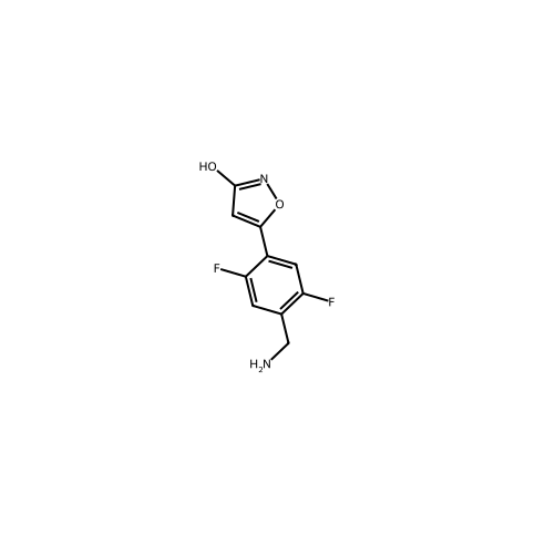 NCc1cc(F)c(-c2cc(O)no2)cc1F